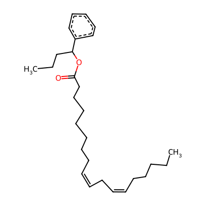 CCCCC/C=C\C/C=C\CCCCCCCC(=O)OC(CCC)c1ccccc1